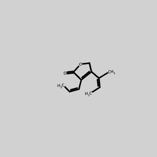 C/C=C\C1=C(C(/C)=C\C)COC1=O